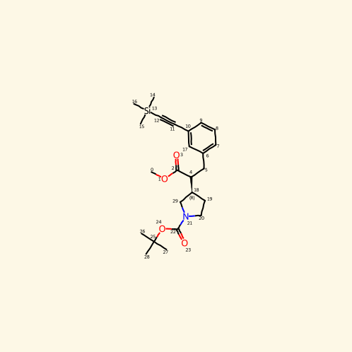 COC(=O)C(Cc1cccc(C#C[Si](C)(C)C)c1)[C@H]1CCN(C(=O)OC(C)(C)C)C1